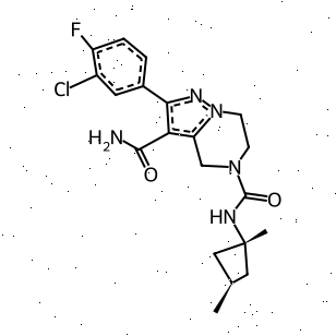 C[C@H]1C[C@](C)(NC(=O)N2CCn3nc(-c4ccc(F)c(Cl)c4)c(C(N)=O)c3C2)C1